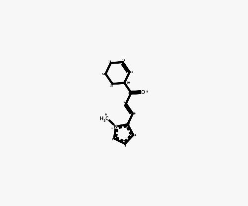 Cn1cccc1/C=C/C(=O)C1C=CCCC1